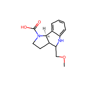 COCC1Nc2ccccc2[C@H]2C1CCN2C(=O)O